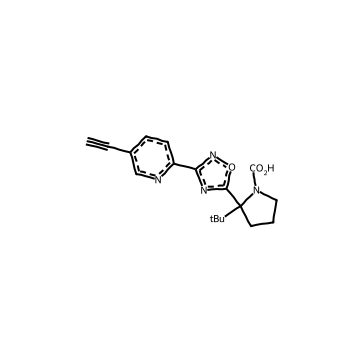 C#Cc1ccc(-c2noc(C3(C(C)(C)C)CCCN3C(=O)O)n2)nc1